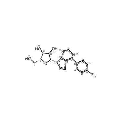 OC[C@H]1O[C@@H](n2ccc3c(-c4ccc(F)cc4)ncnc32)[C@H](O)[C@@H]1O